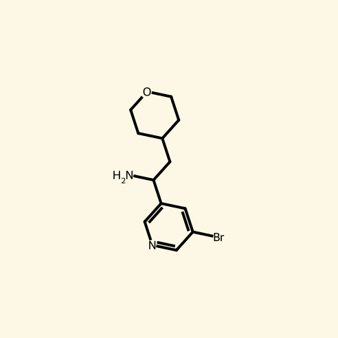 NC(CC1CCOCC1)c1cncc(Br)c1